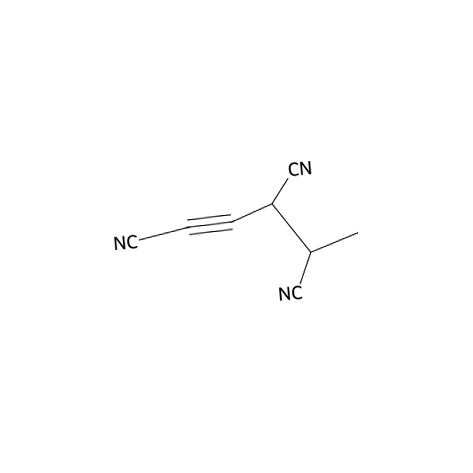 CC(C#N)C(C#N)C#CC#N